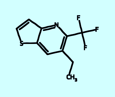 CCc1cc2sccc2nc1C(F)(F)F